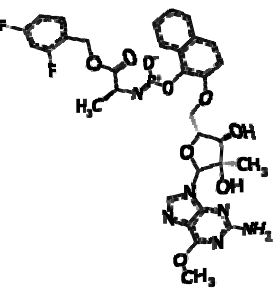 COc1nc(N)nc2c1ncn2C1O[C@H](COc2ccc3ccccc3c2O/[P+]([O-])=N/[C@@H](C)C(=O)OCc2ccc(F)cc2F)[C@@H](O)[C@@]1(C)O